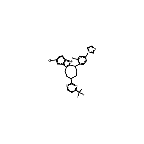 Fc1cc(-n2ccnc2)ccc1C1CCC(c2nccc(C(F)(F)F)n2)CCc2c1[nH]c1ccc(Cl)cc21